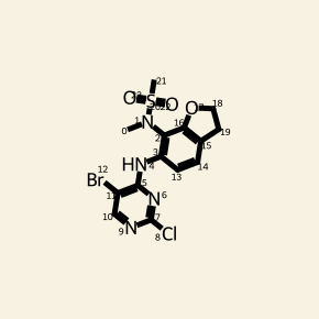 CN(c1c(Nc2nc(Cl)ncc2Br)ccc2c1OCC2)S(C)(=O)=O